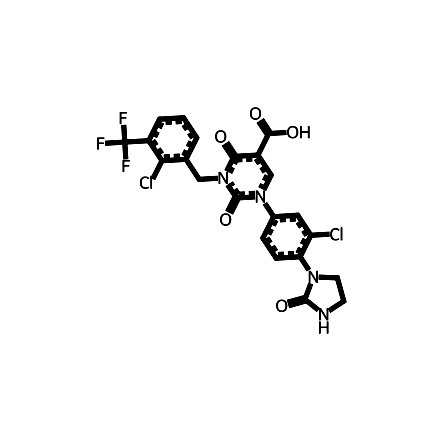 O=C(O)c1cn(-c2ccc(N3CCNC3=O)c(Cl)c2)c(=O)n(Cc2cccc(C(F)(F)F)c2Cl)c1=O